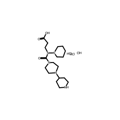 Cl.Cl.Cl.O=C(O)CCN(C(=O)N1CCN(C2CCNCC2)CC1)N1CCCCC1